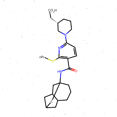 CCCSc1nc(N2CCC[C@@H](CC(=O)O)C2)ccc1C(=O)NC12CCCC3CC(CC3C1)C2